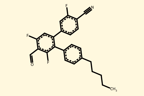 CCCCCc1ccc(-c2c(-c3ccc(C#N)c(F)c3)cc(F)c(C=O)c2F)cc1